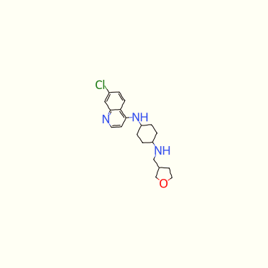 Clc1ccc2c(NC3CCC(NCC4CCOC4)CC3)ccnc2c1